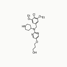 CCOc1cc(CN(c2ncc(OCCCO)cn2)C2CCNCC2)cc(OCC)c1Cl